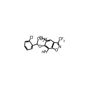 CCCc1c(OC(C(=O)O)c2ccccc2Cl)c(Cl)cc2c(C(F)(F)F)noc12